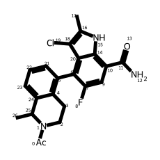 CC(=O)N1CCc2c(-c3c(F)cc(C(N)=O)c4[nH]c(C)c(Cl)c34)cccc2C1C